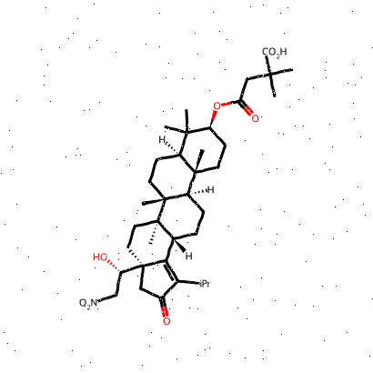 CC(C)C1=C2[C@H]3CC[C@@H]4[C@@]5(C)CC[C@H](OC(=O)CC(C)(C)C(=O)O)C(C)(C)[C@@H]5CC[C@@]4(C)[C@]3(C)CC[C@@]2([C@@H](O)C[N+](=O)[O-])CC1=O